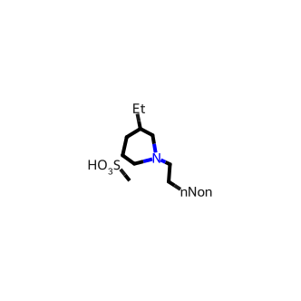 CCCCCCCCCCCN1CCCC(CC)C1.CS(=O)(=O)O